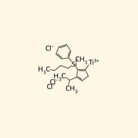 CCCC[Si](C)(C1=[C]([Ti+3])CC=C1C(C)C)c1ccccc1.[Cl-].[Cl-].[Cl-]